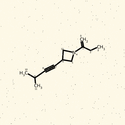 C=C(CC)N1CC(C#CC(C)C)C1